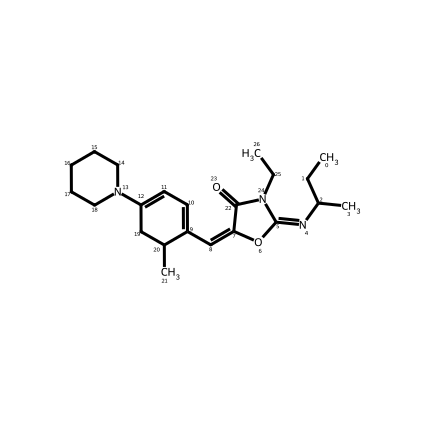 CCC(C)/N=C1/O/C(=C/C2=CC=C(N3CCCCC3)CC2C)C(=O)N1CC